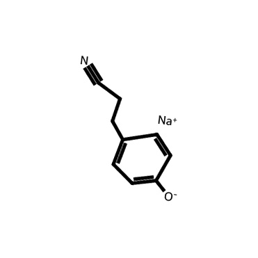 N#CCCc1ccc([O-])cc1.[Na+]